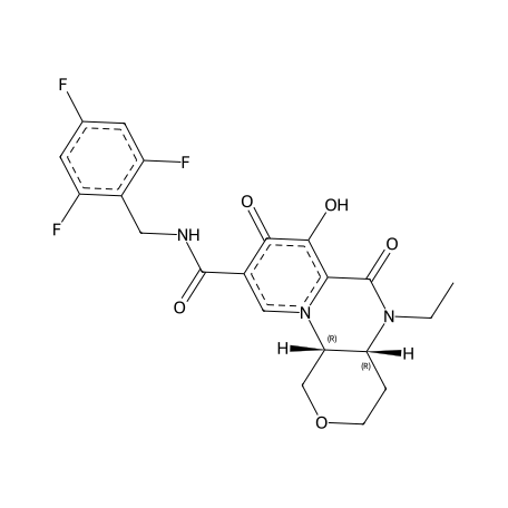 CCN1C(=O)c2c(O)c(=O)c(C(=O)NCc3c(F)cc(F)cc3F)cn2[C@H]2COCC[C@H]21